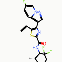 C=Cc1sc(C(=O)NC2[C@@H](C)CCCC2(F)F)nc1-c1cnn2cc(F)ccc12